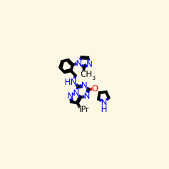 Cc1nccn1-c1ccccc1CNc1nc(O[C@@H]2CCNC2)nc2c(C(C)C)cnn12